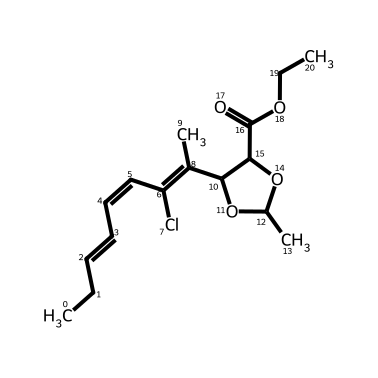 CC/C=C/C=C\C(Cl)=C(/C)C1OC(C)OC1C(=O)OCC